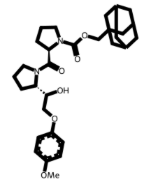 COc1ccc(OCC(O)[C@@H]2CCCN2C(=O)[C@H]2CCCN2C(=O)OCC23CC4CC(CC(C4)C2)C3)cc1